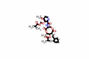 COc1ccnc(C(=O)NC2COC(=O)[C@H](CCc3ccccc3)[C@@H](OC(=O)C(C)C)[C@H](C)OC2=O)c1OCOC(=O)C(C)C